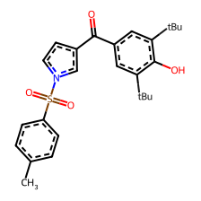 Cc1ccc(S(=O)(=O)n2ccc(C(=O)c3cc(C(C)(C)C)c(O)c(C(C)(C)C)c3)c2)cc1